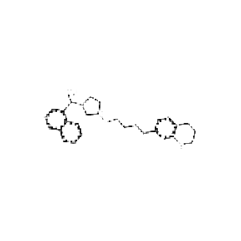 O=C(O)C(c1cccc2ccccc12)N1CC[C@@H](OCCCCc2ccc3c(n2)NCCC3)C1